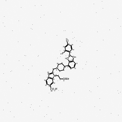 COCCn1c(CN2CCC(c3cccc4c3OC(c3ccc(Cl)cc3F)O4)CC2)nc2ccc(C(=O)O)cc21